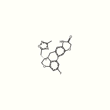 Cc1noc(C[C@H]2COc3cc(F)cc(F)c3N2Cc2ccc3c(c2)NC(=O)CO3)n1